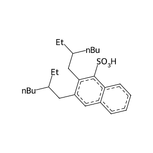 CCCCC(CC)Cc1cc2ccccc2c(S(=O)(=O)O)c1CC(CC)CCCC